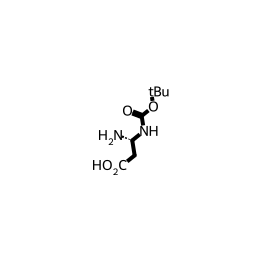 CC(C)(C)OC(=O)N[C@@H](N)CC(=O)O